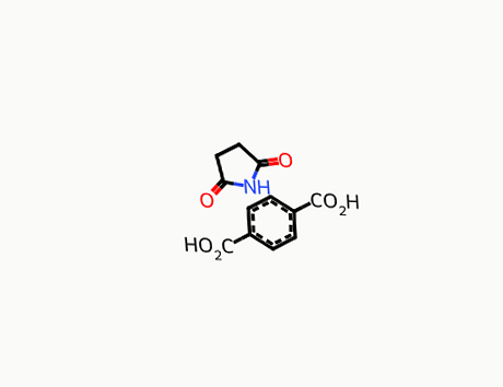 O=C(O)c1ccc(C(=O)O)cc1.O=C1CCC(=O)N1